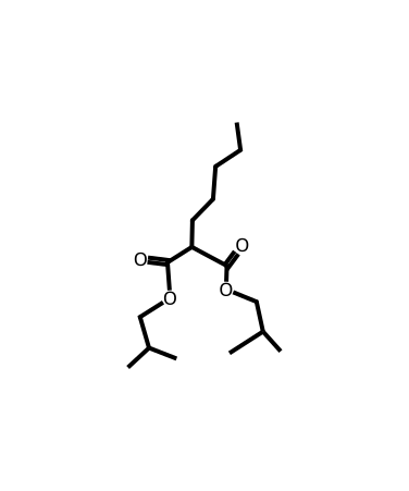 CCCCCC(C(=O)OCC(C)C)C(=O)OCC(C)C